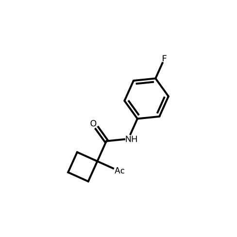 CC(=O)C1(C(=O)Nc2ccc(F)cc2)CCC1